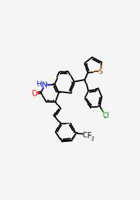 O=c1cc(C=Cc2cccc(C(F)(F)F)c2)c2cc(C(c3ccc(Cl)cc3)c3cccs3)ccc2[nH]1